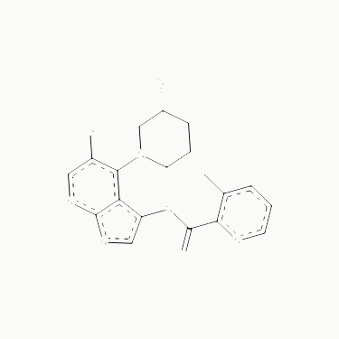 Cc1cccnc1C(=O)Nc1c[nH]c2ncc(Br)c(N3CCC[C@@H](N)C3)c12